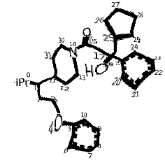 C[C](C)C(CCOc1ccccc1)C1CCN(C(=O)C(O)(c2ccccc2)C2CCCC2)CC1